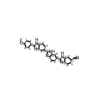 COc1ccc(-c2nc3cc(-c4nc5ccc(-c6nc7ccc(C#N)cc7[nH]6)cc5[nH]4)ccc3[nH]2)cc1